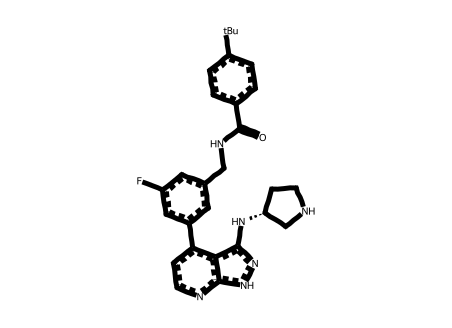 CC(C)(C)c1ccc(C(=O)NCc2cc(F)cc(-c3ccnc4[nH]nc(N[C@@H]5CCNC5)c34)c2)cc1